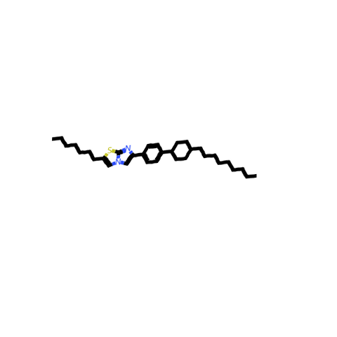 CCCCCCCCCC1CCC(c2ccc(-c3cn4cc(CCCCCCC)sc4n3)cc2)CC1